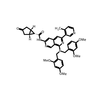 COc1ccc(CN(Cc2ccc(OC)cc2OC)c2nc(-c3cnccc3C)cc3cc(NC(=O)[C@@H]4[C@@H]5CC(=O)C[C@@H]54)ncc23)c(OC)c1